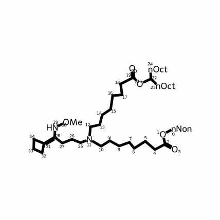 CCCCCCCCCOC(=O)CCCCCCCN(CCCCCCCC(=O)OC(CCCCCCCC)CCCCCCCC)CCCC(NOC)=C1CCC1